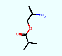 CC(N)COC(=O)C(C)C